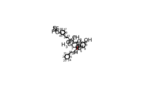 CC1C[C@@]2(O)[C@H]3Cc4ccc(O)c5c4[C@@]2(CCN3CCc2ccccc2)C(O5)C1N(C)C(=O)/C=C/c1cccc(OC(F)(F)F)c1